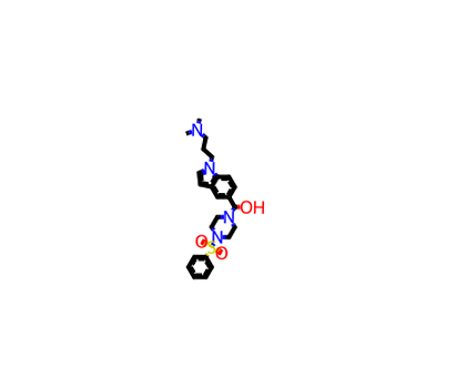 CN(C)CCCn1ccc2cc(C(O)N3CCN(S(=O)(=O)c4ccccc4)CC3)ccc21